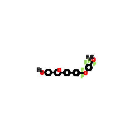 CCOC1CCC(C2CCC(c3ccc(-c4ccc(C(F)(F)Oc5ccc(C(F)(F)OC(F)(F)F)c(F)c5)cc4)cc3)OC2)CC1